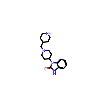 O=c1[nH]c2ccccc2n1C1CCN(CC2CCNCC2)CC1